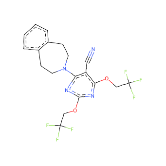 N#Cc1c(OCC(F)(F)F)nc(OCC(F)(F)F)nc1N1CCc2ccccc2CC1